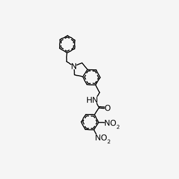 O=C(NCc1ccc2c(c1)CN(Cc1ccccc1)C2)c1cccc([N+](=O)[O-])c1[N+](=O)[O-]